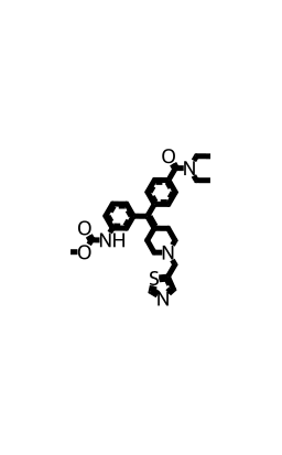 CCN(CC)C(=O)c1ccc(C(=C2CCN(Cc3cncs3)CC2)c2cccc(NC(=O)OC)c2)cc1